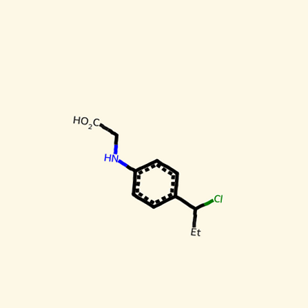 CCC(Cl)c1ccc(NCC(=O)O)cc1